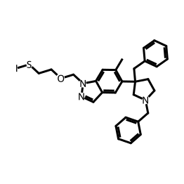 Cc1cc2c(cnn2COCCSI)cc1C1(Cc2ccccc2)CCN(Cc2ccccc2)C1